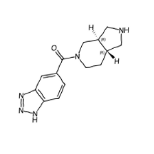 O=C(c1ccc2[nH]nnc2c1)N1CC[C@H]2CNC[C@@H]2C1